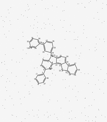 c1ccc(-c2ccc3c(n2)c2c4sc5ccccc5c4ccc2n3-c2cccc(-c3cccnc3)c2)cc1